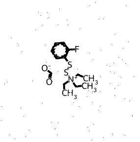 CC[N+](CC)(CC)SSc1ccccc1F.O=C[O-]